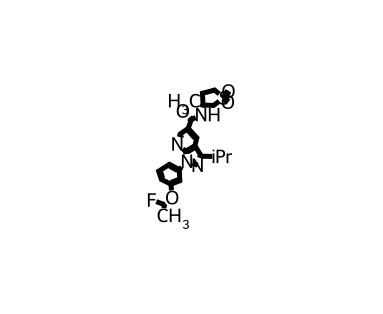 CC(F)Oc1cccc(-n2nc(C(C)C)c3cc(C(=O)NC4(C)CCS(=O)(=O)C4)cnc32)c1